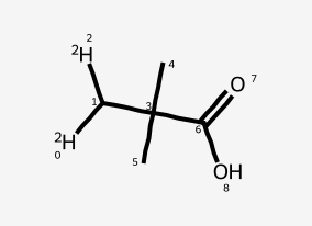 [2H]C([2H])C(C)(C)C(=O)O